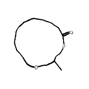 CC1COCCCCCCCCCCC(=O)OC1